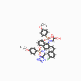 COc1ccc(S(=O)(=O)N(Cc2nn[nH]n2)c2cc(/C=C\c3ccc(F)cc3)c(N(CC(=O)O)S(=O)(=O)c3ccc(OC)cc3)c3ccccc23)cc1